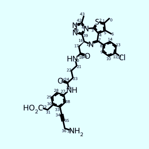 Cc1sc2c(c1C)C(c1ccc(Cl)cc1)=N[C@@H](CC(=O)NCCCC(=O)Nc1ccc(CC(=O)O)c(C#CCN)c1)c1nnc(C)n1-2